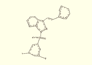 O=S(=O)(c1cc(F)cc(F)c1)n1nc(C=Cc2ccccc2)c2ccccc21